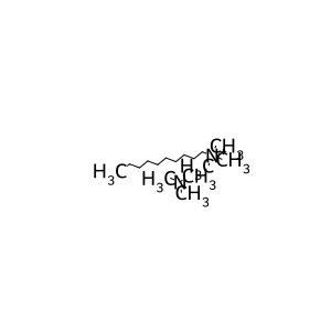 CCCCCCCCCC[N+](C)(C)C.CN(C)C